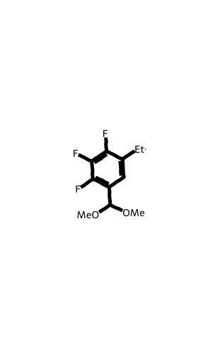 C[CH]c1cc(C(OC)OC)c(F)c(F)c1F